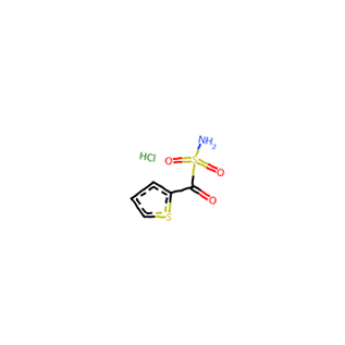 Cl.NS(=O)(=O)C(=O)c1cccs1